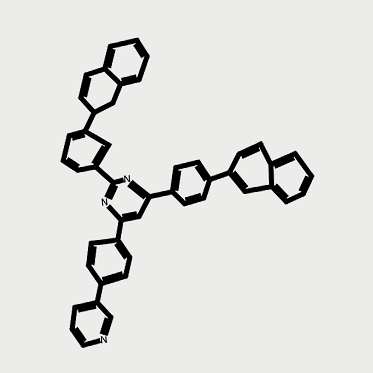 C1=CC(c2cccc(-c3nc(-c4ccc(-c5cccnc5)cc4)cc(-c4ccc(-c5ccc6ccccc6c5)cc4)n3)c2)Cc2ccccc21